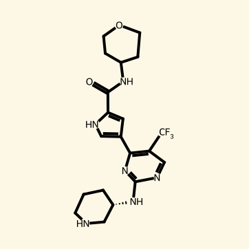 O=C(NC1CCOCC1)c1cc(-c2nc(N[C@H]3CCCNC3)ncc2C(F)(F)F)c[nH]1